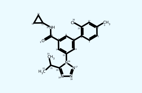 Cc1ccc(-c2cc(C(=O)NC3CC3)cc(-n3nnnc3C(C)C)c2)c(Cl)c1